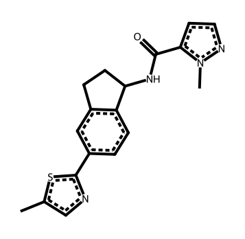 Cc1cnc(-c2ccc3c(c2)CCC3NC(=O)c2ccnn2C)s1